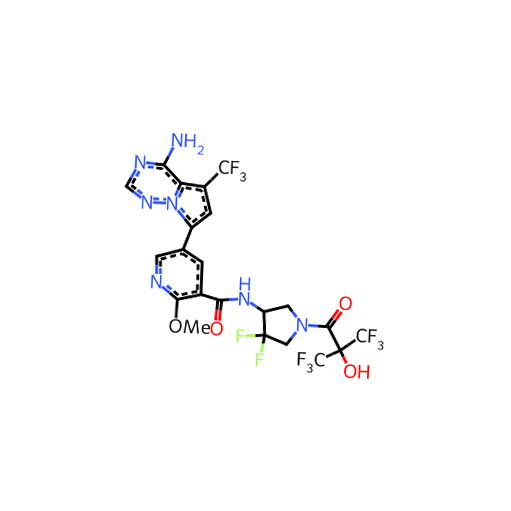 COc1ncc(-c2cc(C(F)(F)F)c3c(N)ncnn23)cc1C(=O)NC1CN(C(=O)C(O)(C(F)(F)F)C(F)(F)F)CC1(F)F